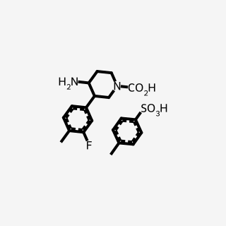 Cc1ccc(C2CN(C(=O)O)CCC2N)cc1F.Cc1ccc(S(=O)(=O)O)cc1